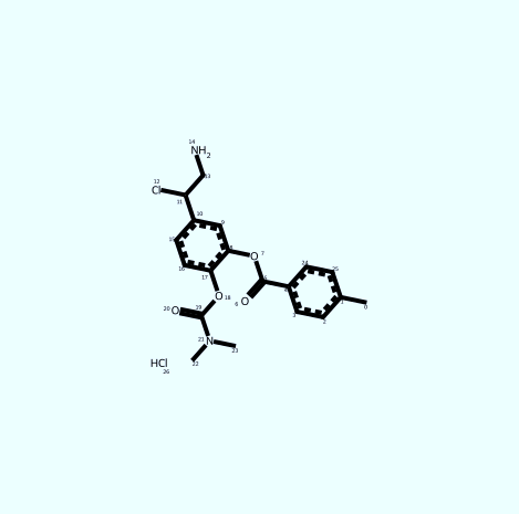 Cc1ccc(C(=O)Oc2cc(C(Cl)CN)ccc2OC(=O)N(C)C)cc1.Cl